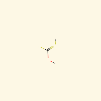 CCOC(S)=[SH]CC.[Zn]